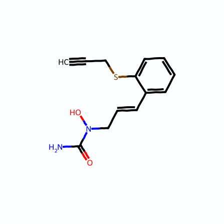 C#CCSc1ccccc1/C=C/CN(O)C(N)=O